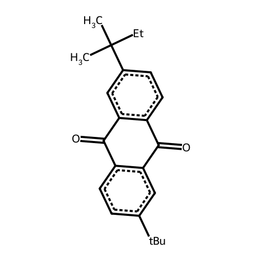 CCC(C)(C)c1ccc2c(c1)C(=O)c1ccc(C(C)(C)C)cc1C2=O